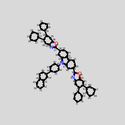 c1ccc(-c2cc3nc(-c4ccc5c6ccc(-c7nc8cc(-c9ccccc9)c(-c9ccccc9)cc8o7)cc6n(-c6ccc(-c7ccc8ccccc8c7)cc6)c5c4)oc3cc2-c2ccccc2)cc1